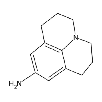 Nc1cc2c3c(c1)CCCN3CCC2